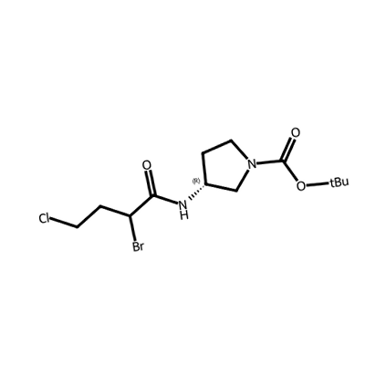 CC(C)(C)OC(=O)N1CC[C@@H](NC(=O)C(Br)CCCl)C1